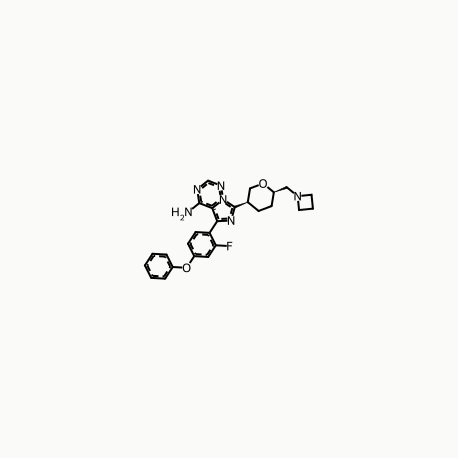 Nc1ncnn2c([C@@H]3CC[C@H](CN4CCC4)OC3)nc(-c3ccc(Oc4ccccc4)cc3F)c12